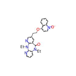 CCN1C(=O)c2cc(CCOc3cc[n+]([O-])c4ccccc34)cnc2N(CC)c2ncccc21